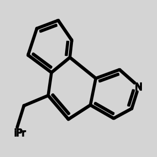 CC(C)Cc1cc2ccncc2c2ccccc12